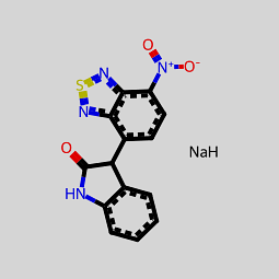 O=C1Nc2ccccc2C1c1ccc([N+](=O)[O-])c2nsnc12.[NaH]